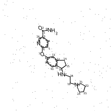 NC(=O)c1ccc(Oc2ccc3c(c2)CCC3NCCN2CCCC2)nc1